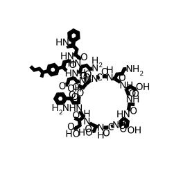 CCCC(C)c1ccc(/C(C)=C/C(=O)NC(Cc2c[nH]c3ccccc23)C(=O)NC(CC(N)=O)C(=O)NC(CC(=O)O)C(=O)NC2C(=O)NCC(=O)NC(CCCN)C(=O)NC(CC(=O)O)C(=O)NC(C)C(=O)NC(CC(=O)O)C(=O)NCC(=O)NC(CO)C(=O)NC(C(C)CC(=O)O)C(=O)NC(CC(=O)c3ccccc3N)C(=O)OC2C)cc1